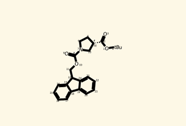 CC(C)(C)OC(=O)[C@H]1CCN(C(=O)OCC2c3ccccc3-c3ccccc32)C1